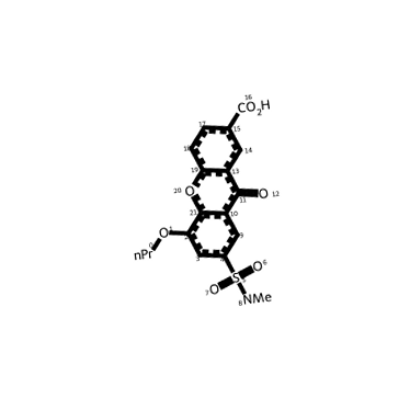 CCCOc1cc(S(=O)(=O)NC)cc2c(=O)c3cc(C(=O)O)ccc3oc12